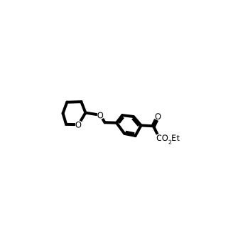 CCOC(=O)C(=O)c1ccc(COC2CCCCO2)cc1